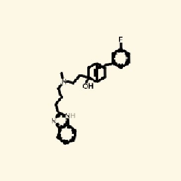 CN(CCCc1nc2ccccc2[nH]1)CCC1(O)CC2CCC1C=C2c1cccc(F)c1